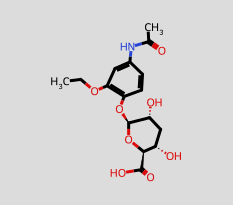 CCOc1cc(NC(C)=O)ccc1O[C@@H]1O[C@H](C(=O)O)[C@@H](O)C[C@H]1O